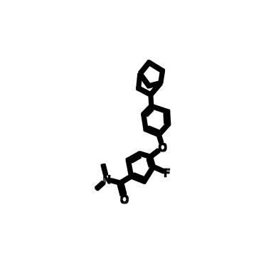 CN(C)C(=O)c1ccc(Oc2ccc(C3CC4CCC3C4)cc2)c(F)c1